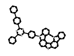 c1ccc(-c2ccc(-c3nc(-c4ccccc4)nc(-c4ccc(-n5c6ccc7sc8ccc9c%10ccccc%10n%10c%11cccc5c%11c6c7c8c9%10)cc4)n3)cc2)cc1